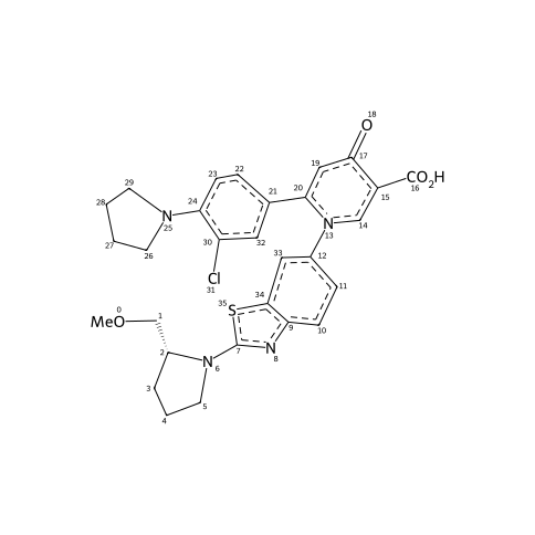 COC[C@H]1CCCN1c1nc2ccc(-n3cc(C(=O)O)c(=O)cc3-c3ccc(N4CCCC4)c(Cl)c3)cc2s1